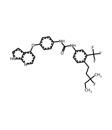 CCC(C)(F)CCc1ccc(NC(=O)Nc2ccc(Oc3ccnc4[nH]ccc34)cc2)cc1C(F)(F)F